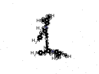 Cc1cc(NC(=O)c2ccc(N)cc2)c(OCCOCCOCCOc2cc(/N=N/c3ccc4cc(S(=O)(=O)O)cc(S(=O)(=O)O)c4c3)c(C)cc2NC(=O)c2ccc(N)cc2)cc1/N=N/c1ccc2cc(SOOO)cc(S(=O)(=O)O)c2c1